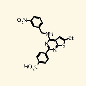 CCc1cc2c(NCc3cccc([N+](=O)[O-])c3)nc(-c3ccc(C(=O)O)cc3)nc2s1